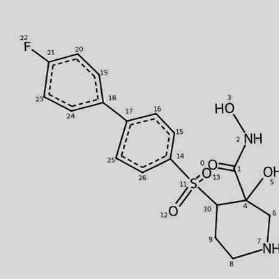 O=C(NO)C1(O)CNCCC1S(=O)(=O)c1ccc(-c2ccc(F)cc2)cc1